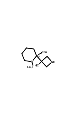 CC(C)(C)[C@]1(C2(O)CNC2)CCCCN1C(=O)O